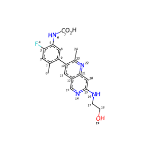 Cc1cc(F)c(NC(=O)O)cc1-c1cc2cnc(NCCO)cc2nc1C